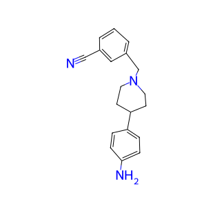 N#Cc1cccc(CN2CCC(c3ccc(N)cc3)CC2)c1